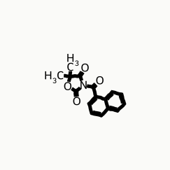 CC1(C)OC(=O)N(C(=O)c2cccc3ccccc23)C1=O